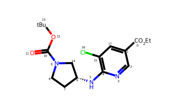 CCOC(=O)c1cnc(N[C@@H]2CCN(C(=O)OC(C)(C)C)C2)c(Cl)c1